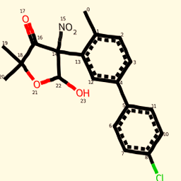 Cc1ccc(-c2ccc(Cl)cc2)cc1C1([N+](=O)[O-])C(=O)C(C)(C)OC1O